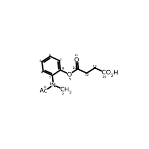 CC(=O)N(C)c1ccccc1OC(=O)CCC(=O)O